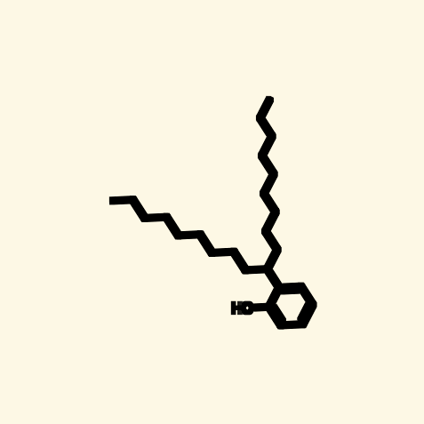 CCCCCCCCCC(CCCCCCCCC)c1ccccc1O